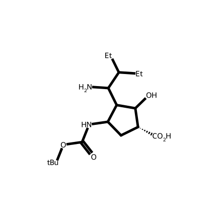 CCC(CC)C(N)C1C(NC(=O)OC(C)(C)C)C[C@@H](C(=O)O)C1O